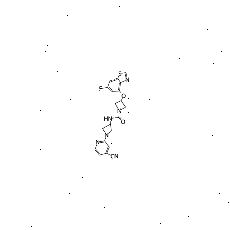 N#Cc1ccnc(N2CC(NC(=O)N3CC(Oc4cc(F)cc5scnc45)C3)C2)c1